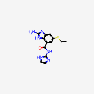 CCSc1cc(C(=O)Nc2ncc[nH]2)c2[nH]c(N)nc2c1